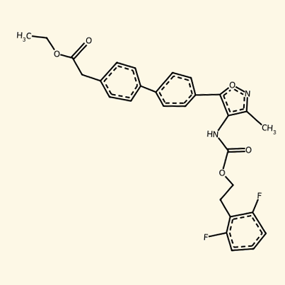 CCOC(=O)Cc1ccc(-c2ccc(-c3onc(C)c3NC(=O)OCCc3c(F)cccc3F)cc2)cc1